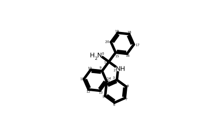 NC(Nc1ccccc1)(c1ccccc1)c1ccccc1